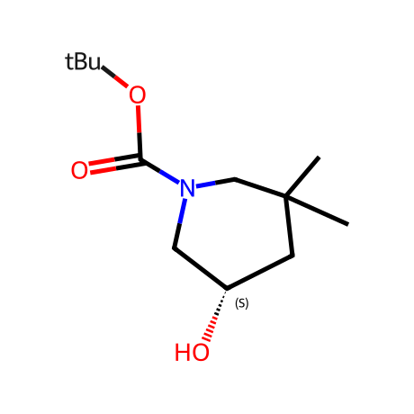 CC1(C)C[C@H](O)CN(C(=O)OC(C)(C)C)C1